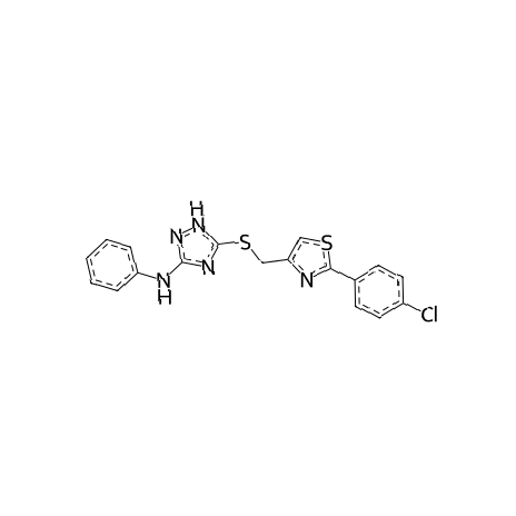 Clc1ccc(-c2nc(CSc3nc(Nc4ccccc4)n[nH]3)cs2)cc1